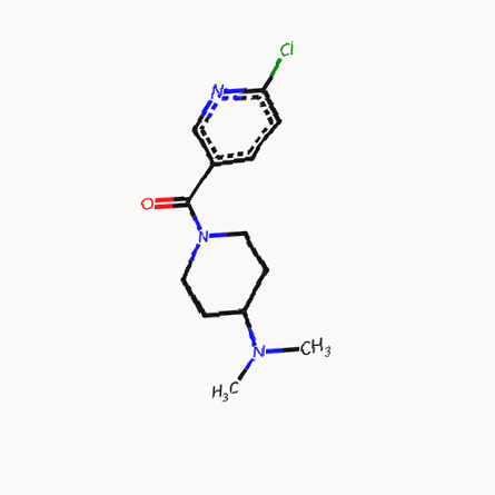 CN(C)C1CCN(C(=O)c2ccc(Cl)nc2)CC1